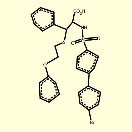 O=C(O)C(NS(=O)(=O)c1ccc(-c2ccc(Br)cc2)cc1)C(SCCOc1ccccc1)c1ccccc1